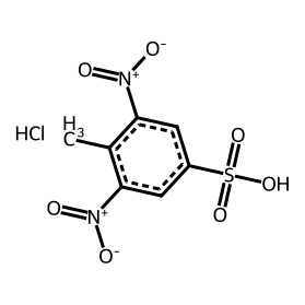 Cc1c([N+](=O)[O-])cc(S(=O)(=O)O)cc1[N+](=O)[O-].Cl